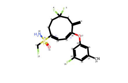 C=C1CC(F)(F)CC/C([SH](N)(=O)CF)=C\C=C/1Oc1cc(F)cc(C#N)c1